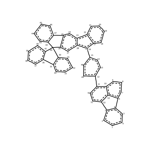 c1ccc2c(c1)-c1cccc3c(-c4ccc(-n5c6ccccc6c6cc7c(cc65)C5(c6ccccc6-c6ccccc65)c5ccccc5-7)cc4)ccc-2c13